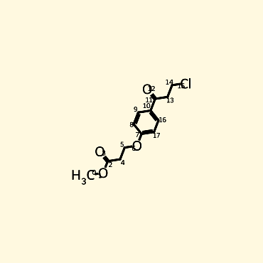 COC(=O)CCOc1ccc(C(=O)CCCl)cc1